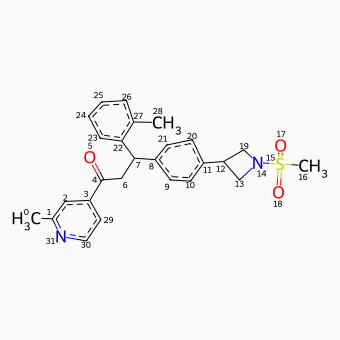 Cc1cc(C(=O)CC(c2ccc(C3CN(S(C)(=O)=O)C3)cc2)c2ccccc2C)ccn1